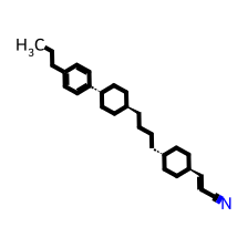 CCCc1ccc([C@H]2CC[C@H](CCCC[C@H]3CC[C@H](C=CC#N)CC3)CC2)cc1